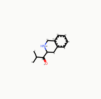 CC(C)C(=O)C1Cc2ccccc2CN1